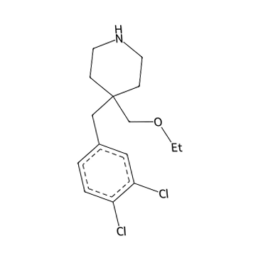 CCOCC1(Cc2ccc(Cl)c(Cl)c2)CCNCC1